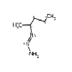 CCCC(C)N=NN